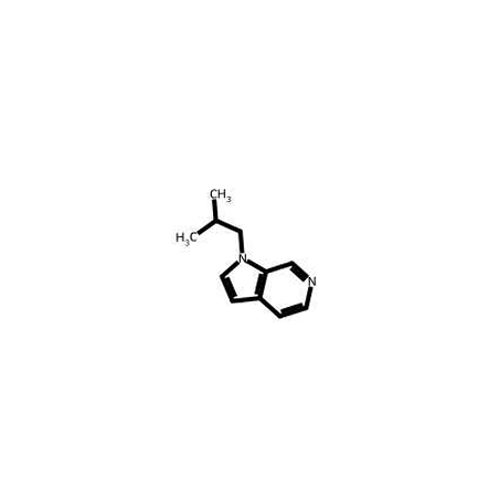 CC(C)Cn1ccc2ccncc21